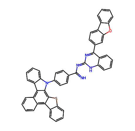 N=C(/N=c1/nc(-c2ccc3c(c2)oc2ccccc23)c2ccccc2[nH]1)c1ccc(-n2c3ccccc3c3c4ccccc4c4c5ccccc5sc4c32)cc1